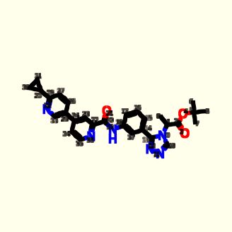 CC(C(=O)OC(C)(C)C)n1cnnc1-c1cccc(NC(=O)c2cc(-c3ccc(C4CC4)nc3)ccn2)c1